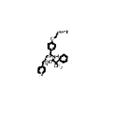 CCCC(C)COc1ccc([C@H](CNCc2ccncc2)NC(=O)[C@@H](C)c2ccccc2)cc1